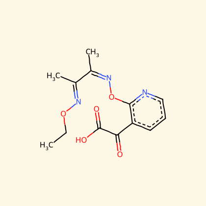 CCON=C(C)C(C)=NOc1ncccc1C(=O)C(=O)O